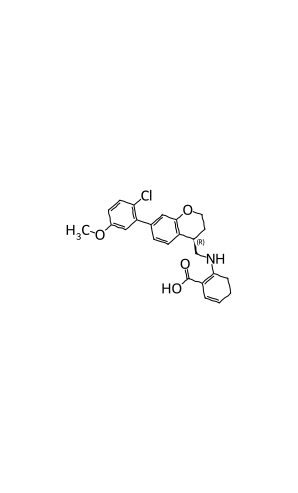 COc1ccc(Cl)c(-c2ccc3c(c2)OCC[C@H]3CNC2=C(C(=O)O)C=CCC2)c1